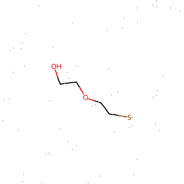 OCCOCC[S]